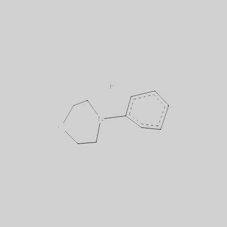 [B].c1ccc(N2CCOCC2)cc1